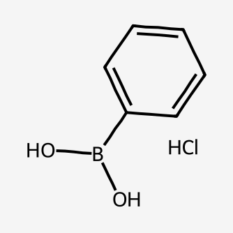 Cl.OB(O)c1ccccc1